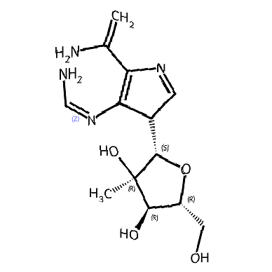 C=C(N)C1=C(/N=C\N)C([C@@H]2O[C@H](CO)[C@@H](O)[C@@]2(C)O)C=N1